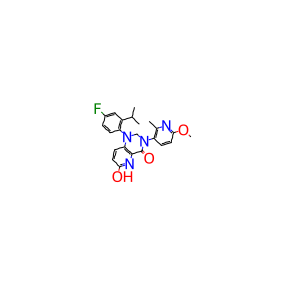 COc1ccc(N2CN(c3ccc(F)cc3C(C)C)c3ccc(O)nc3C2=O)c(C)n1